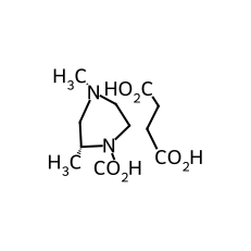 C[C@@H]1CN(C)CCN1C(=O)O.O=C(O)CCC(=O)O